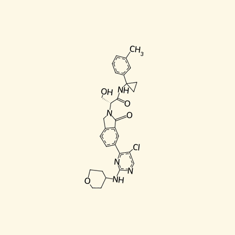 Cc1cccc(C2(NC(=O)[C@@H](CO)N3Cc4ccc(-c5nc(NC6CCOCC6)ncc5Cl)cc4C3=O)CC2)c1